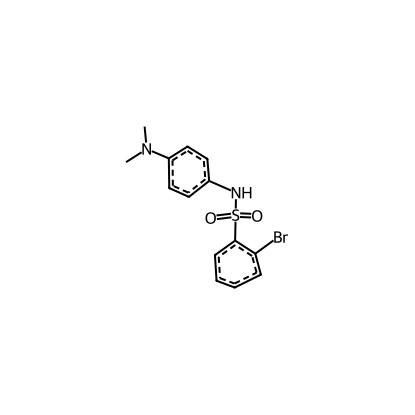 CN(C)c1ccc(NS(=O)(=O)c2ccccc2Br)cc1